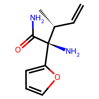 C=C[C@@H](C)[C@@](N)(C(N)=O)c1ccco1